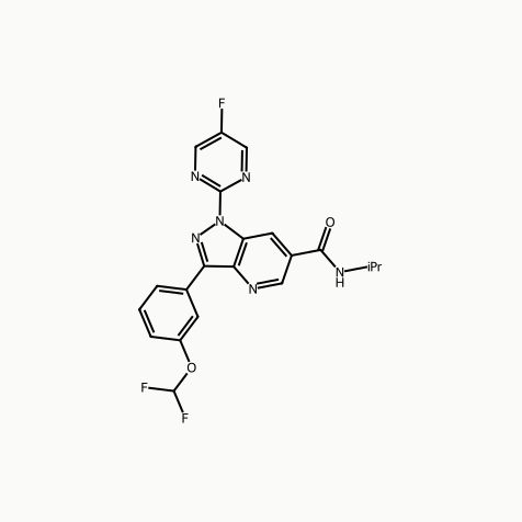 CC(C)NC(=O)c1cnc2c(-c3cccc(OC(F)F)c3)nn(-c3ncc(F)cn3)c2c1